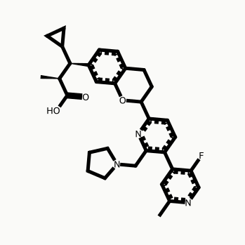 Cc1cc(-c2ccc(C3CCc4ccc([C@H](C5CC5)[C@H](C)C(=O)O)cc4O3)nc2CN2CCCC2)c(F)cn1